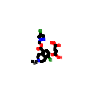 CN1CCc2c(Cl)ccc(C(=O)OCn3cc(Cl)cn3)c2CC1.O=C(O)C=CC(=O)O